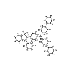 CC1(C)c2ccccc2-c2c1c1ccc(N(c3ccc(-c4ccccc4)cc3)c3ccc(-c4ccccc4)cc3)cc1c1ccccc21